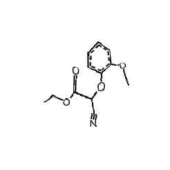 CCOC(=O)C(C#N)Oc1ccccc1OC